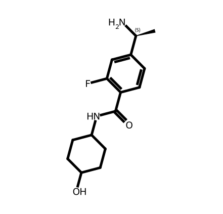 C[C@H](N)c1ccc(C(=O)NC2CCC(O)CC2)c(F)c1